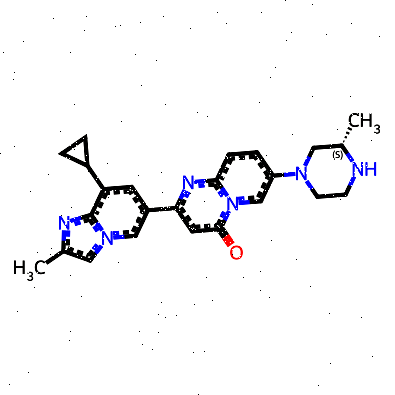 Cc1cn2cc(-c3cc(=O)n4cc(N5CCN[C@@H](C)C5)ccc4n3)cc(C3CC3)c2n1